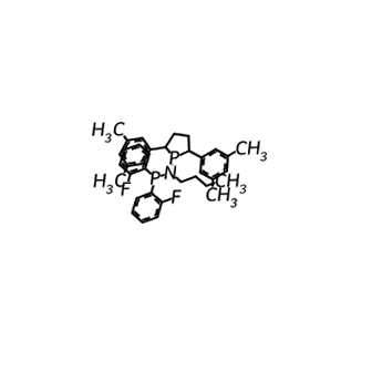 CCCCN(P(c1ccccc1F)c1ccccc1F)P1C(c2cc(C)cc(C)c2)CCC1c1cc(C)cc(C)c1